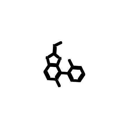 C/N=c1/oc2cc[n+](C)c(-c3ccccc3C)c2o1